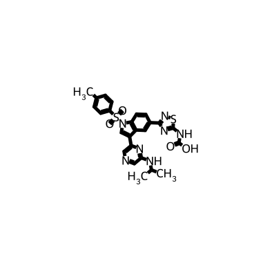 Cc1ccc(S(=O)(=O)n2cc(-c3cncc(NC(C)C)n3)c3cc(-c4nsc(NC(=O)O)n4)ccc32)cc1